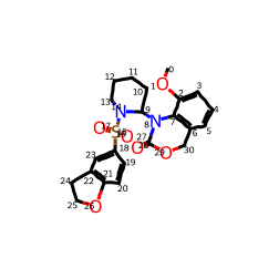 COc1cccc2c1N(C1CCCCN1S(=O)(=O)c1ccc3c(c1)CCO3)C(=O)OC2